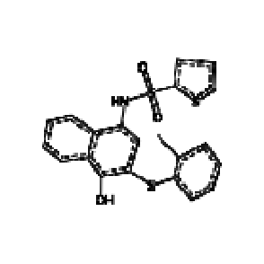 Cc1ccccc1Sc1cc(NS(=O)(=O)c2cccs2)c2ccccc2c1O